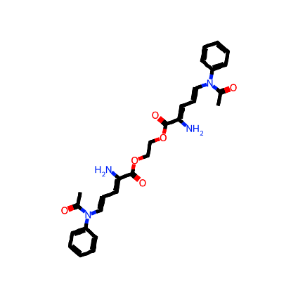 CC(=O)N(/C=C/C=C(\N)C(=O)OCCOC(=O)/C(N)=C/C=C/N(C(C)=O)c1ccccc1)c1ccccc1